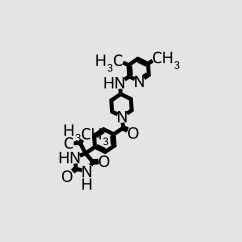 Cc1cnc(NC2CCN(C(=O)c3ccc(C4(C(C)C)NC(=O)NC4=O)cc3)CC2)c(C)c1